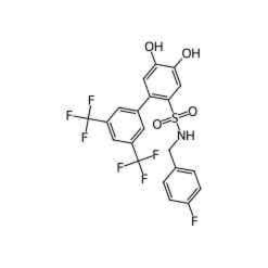 O=S(=O)(NCc1ccc(F)cc1)c1cc(O)c(O)cc1-c1cc(C(F)(F)F)cc(C(F)(F)F)c1